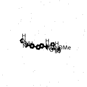 COC(=O)N[C@H](C(=O)N1CCC[C@H]1c1ncc(-c2ccc3cc(-c4ccc(-c5cnc([C@@H]6CCCN6)[nH]5)cc4)ccc3c2)[nH]1)C(C)C